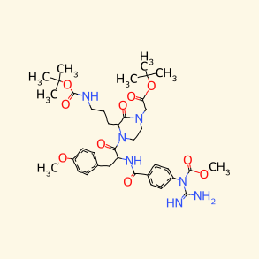 COC(=O)N(C(=N)N)c1ccc(C(=O)NC(Cc2ccc(OC)cc2)C(=O)N2CCN(CC(=O)OC(C)(C)C)C(=O)C2CCCNC(=O)OC(C)(C)C)cc1